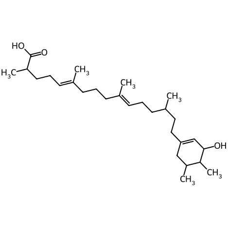 C/C(=C\CCC(C)CCC1=CC(O)C(C)C(C)C1)CCC/C(C)=C/CCC(C)C(=O)O